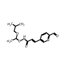 CC(C)COC(C)ONC(=O)/C=C/c1ccc(C=O)nc1